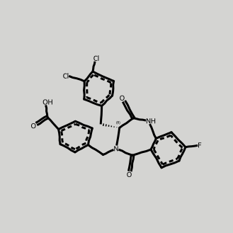 O=C(O)c1ccc(CN2C(=O)c3ccc(F)cc3NC(=O)[C@H]2Cc2ccc(Cl)c(Cl)c2)cc1